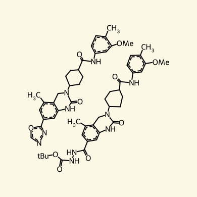 COc1cc(NC(=O)C2CCC(N3Cc4c(C)cc(-c5nnco5)cc4NC3=O)CC2)ccc1C.COc1cc(NC(=O)C2CCC(N3Cc4c(C)cc(C(=O)NNC(=O)OC(C)(C)C)cc4NC3=O)CC2)ccc1C